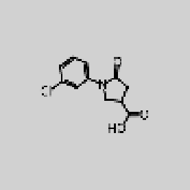 O=C(O)C1CC(=O)N(c2cccc(Cl)c2)C1